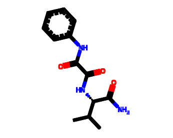 CC(C)[C@H](NC(=O)C(=O)Nc1ccccc1)C(N)=O